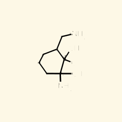 CC1(N)CCCC(CN)C1(C)C